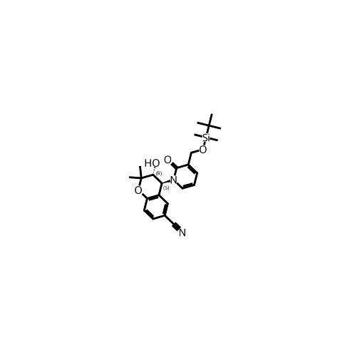 CC1(C)Oc2ccc(C#N)cc2[C@H](n2cccc(CO[Si](C)(C)C(C)(C)C)c2=O)[C@H]1O